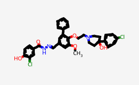 COc1cc(/C=N/NC(=O)c2ccc(O)c(Cl)c2)cc(-c2ccccc2)c1OCCN1CCC(O)(c2ccc(Cl)cc2)CC1